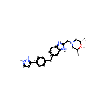 C[C@H]1CN(Cc2nc3ccc(Cc4ccc(-c5ccn[nH]5)cc4)cc3[nH]2)C[C@H](C)O1